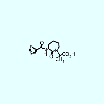 CC(C(=O)O)N1CCCC[C@H](NC(=O)c2cscn2)C1=O